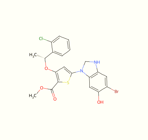 COC(=O)c1sc(N2CNc3cc(Br)c(O)cc32)cc1O[C@H](C)c1ccccc1Cl